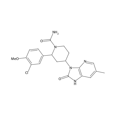 COc1ccc(C2CC(n3c(=O)[nH]c4cc(C)cnc43)CCN2C(N)=O)cc1Cl